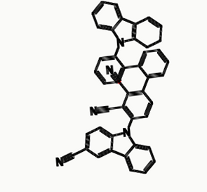 N#Cc1ccc2c(c1)c1ccccc1n2-c1ccc(-c2ccccc2-c2ccccc2-n2c3c(c4ccccc42)C=CCC3)c(C#N)c1C#N